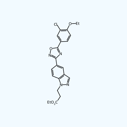 CCOC(=O)CCn1ncc2cc(-c3noc(-c4ccc(OCC)c(Cl)c4)n3)ccc21